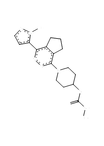 Cn1nccc1-c1nnc(N2CCC(NC(=O)NC(C)(C)C)CC2)c2c1CCC2